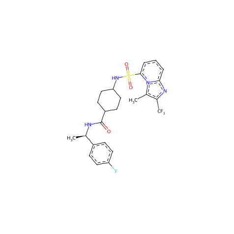 Cc1c(C(F)(F)F)nc2cccc(S(=O)(=O)NC3CCC(C(=O)N[C@H](C)c4ccc(F)cc4)CC3)n12